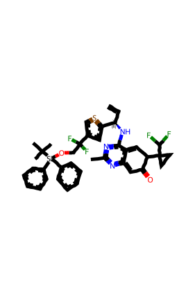 C=C[C@@H](Nc1nc(C)nc2c1=CC(C1(C(F)F)CC1)C(=O)C=2)c1cc(C(F)(F)CO[Si](c2ccccc2)(c2ccccc2)C(C)(C)C)cs1